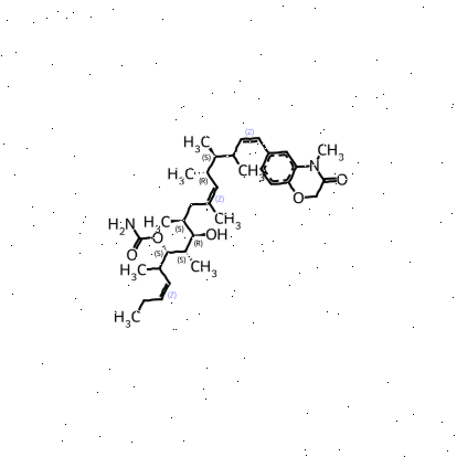 CC/C=C\C(C)[C@H](OC(N)=O)[C@@H](C)[C@H](O)[C@@H](C)C/C(C)=C\[C@H](C)[C@@H](C)C(C)/C=C\c1ccc2c(c1)N(C)C(=O)CO2